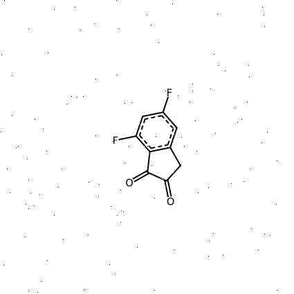 O=C1Cc2cc(F)cc(F)c2C1=O